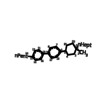 CCCCCCCC1(C)CCC(c2ccc(-c3ccc(CCCCC)cc3)cc2)CC1